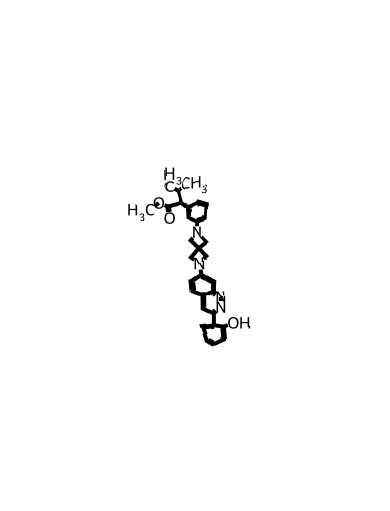 COC(=O)C(c1cccc(N2CC3(C2)CN(c2ccc4cc(-c5ccccc5O)nnc4c2)C3)c1)C(C)C